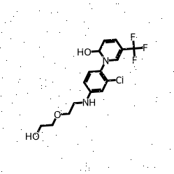 OCCOCCNc1ccc(N2C=C(C(F)(F)F)C=CC2O)c(Cl)c1